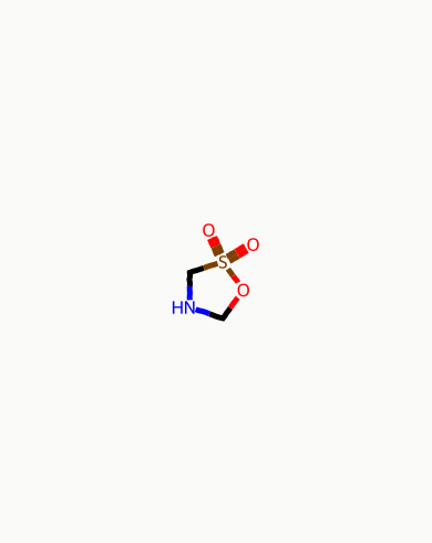 O=S1(=O)CNCO1